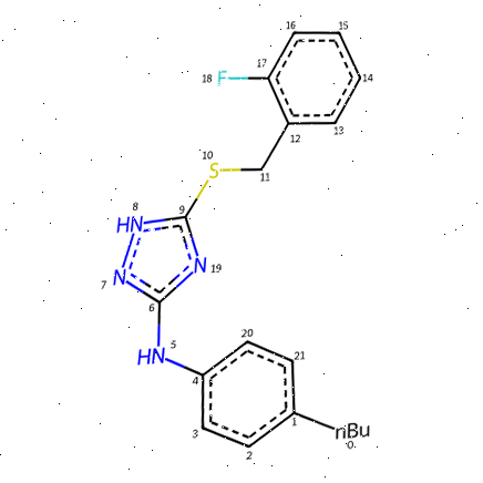 CCCCc1ccc(Nc2n[nH]c(SCc3ccccc3F)n2)cc1